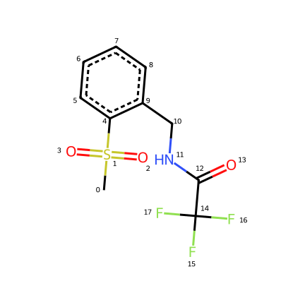 CS(=O)(=O)c1ccccc1CNC(=O)C(F)(F)F